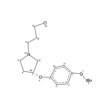 CC(C)(C)Oc1ccc(O[C@@H]2CCN(CCCCl)C2)cc1